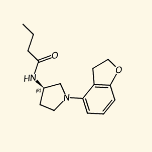 CCCC(=O)N[C@@H]1CCN(c2cccc3c2CCO3)C1